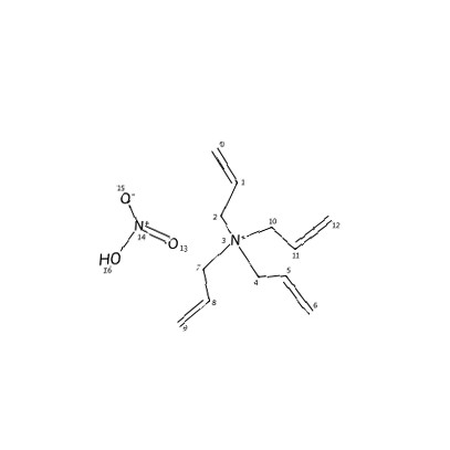 C=CC[N+](CC=C)(CC=C)CC=C.O=[N+]([O-])O